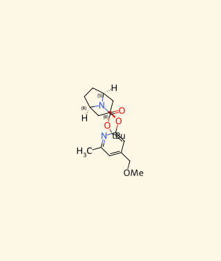 COCc1cc(C)nc(O[C@H]2C[C@H]3CC[C@@H](C2)N3C(=O)OC(C)(C)C)c1